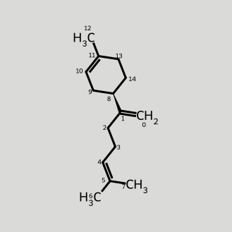 C=C(CCC=C(C)C)[C@H]1CC=C(C)CC1